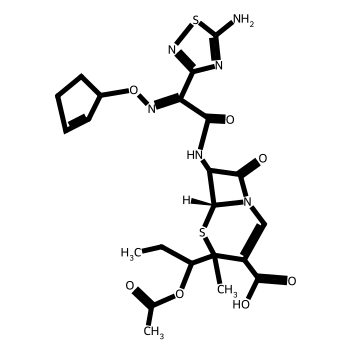 CCC(OC(C)=O)C1(C)S[C@@H]2C(NC(=O)C(=NOC3C=CCC3)c3nsc(N)n3)C(=O)N2C=C1C(=O)O